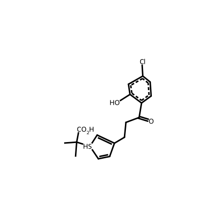 CC(C)(C(=O)O)[SH]1C=CC(CCC(=O)c2ccc(Cl)cc2O)=C1